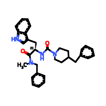 CN(Cc1ccccc1)C(=O)[C@H](Cc1c[nH]c2ccccc12)NC(=O)N1CCC(Cc2ccccc2)CC1